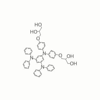 OCC(O)COc1ccc(N(c2ccc(OCC(O)CO)cc2)c2cc(N(c3ccccc3)c3ccccc3)cc(N(c3ccccc3)c3ccccc3)c2)cc1